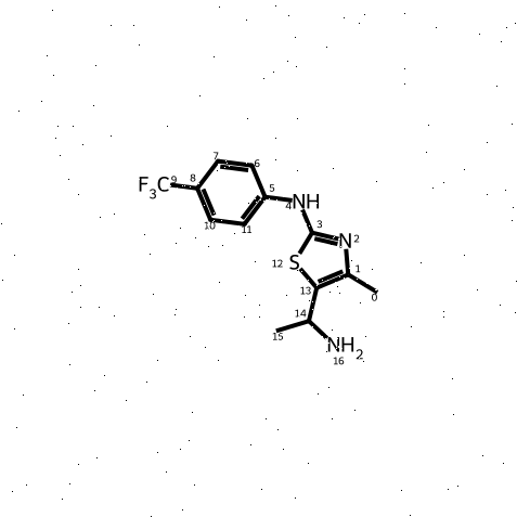 Cc1nc(Nc2ccc(C(F)(F)F)cc2)sc1C(C)N